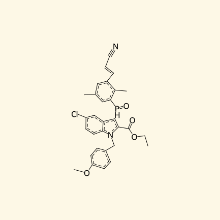 CCOC(=O)c1c([PH](=O)c2cc(C)cc(C=CC#N)c2C)c2cc(Cl)ccc2n1Cc1ccc(OC)cc1